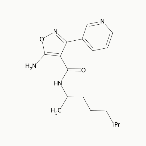 CC(C)CCCC(C)NC(=O)c1c(-c2cccnc2)noc1N